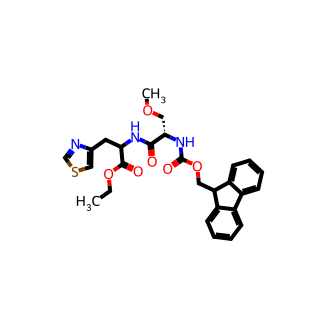 CCOC(=O)C(Cc1cscn1)NC(=O)[C@H](COC)NC(=O)OCC1c2ccccc2-c2ccccc21